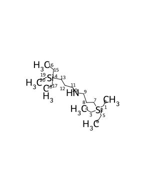 CC[Si](CC)(CC)CCCNCCC[Si](CC)(CC)CC